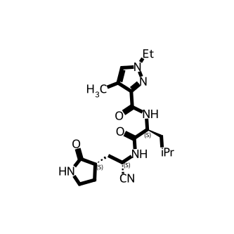 CCn1cc(C)c(C(=O)N[C@@H](CC(C)C)C(=O)N[C@H](C#N)C[C@@H]2CCNC2=O)n1